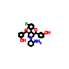 Cc1c(F)cccc1C1[C@@H](C(=O)c2cccc(O)c2)CN(C2CCCCC2N)C[C@@H]1C(=O)c1cccc(O)c1